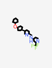 FC(F)(F)c1cc(NCc2ccc(-c3ccc(Oc4ccccc4)cc3)cn2)ccn1